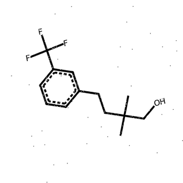 CC(C)(CO)CCc1cccc(C(F)(F)F)c1